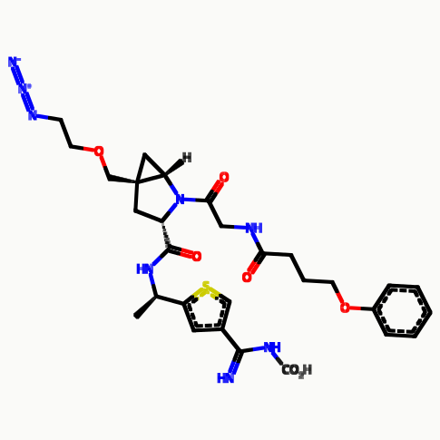 C[C@@H](NC(=O)[C@@H]1C[C@]2(COCCN=[N+]=[N-])C[C@@H]2N1C(=O)CNC(=O)CCCOc1ccccc1)c1cc(C(=N)NC(=O)O)cs1